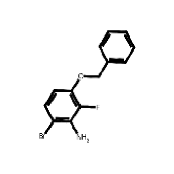 Nc1c(Br)ccc(OCc2ccccc2)c1F